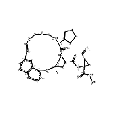 C=C[C@@H]1C[C@]1(NC(=O)[C@@H]1C[C@@H]2CN1C(=O)[C@H](C1CCCC1)NCCCC/C=C/c1ccc3ccnc(c3c1)O2)C(=O)NS